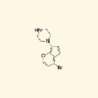 Brc1ccoc2c(N3CCNCC3)ccc1-2